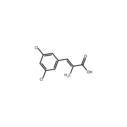 C/C(=C\c1cc(Cl)cc(Cl)c1)C(=O)O